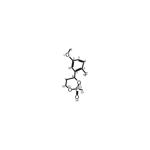 COc1ccc(F)c(C2CCOP(C)(=O)O2)c1